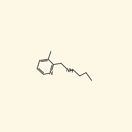 CCCCNCc1ncccc1C